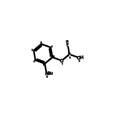 CCCCc1ccccc1OP(O)F